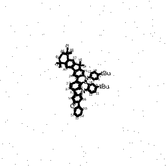 CC(C)(C)c1ccc(N2B3c4cc(C(C)(C)C)ccc4-n4c5cc6c(cc5c5ccc(c3c54)-c3cc4c(cc32)C(C)(C)c2cc3c(cc2-4)C(C)(C)CCC3(C)C)oc2ccccc26)cc1